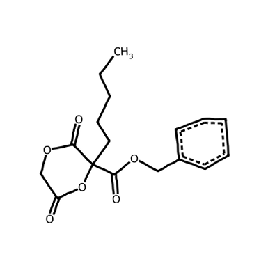 CCCCCC1(C(=O)OCc2ccccc2)OC(=O)COC1=O